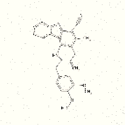 C=CCc1c(C)c(C#N)c2nc3ccccc3n2c1NCCc1ccc(OC)c(OC)c1